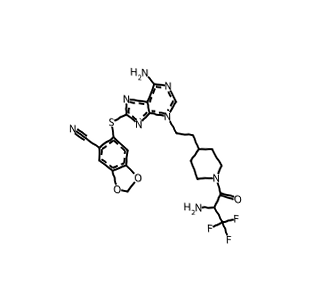 N#Cc1cc2c(cc1Sc1nc3c(N)ncn(CCC4CCN(C(=O)C(N)C(F)(F)F)CC4)c-3n1)OCO2